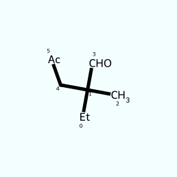 CCC(C)(C=O)CC(C)=O